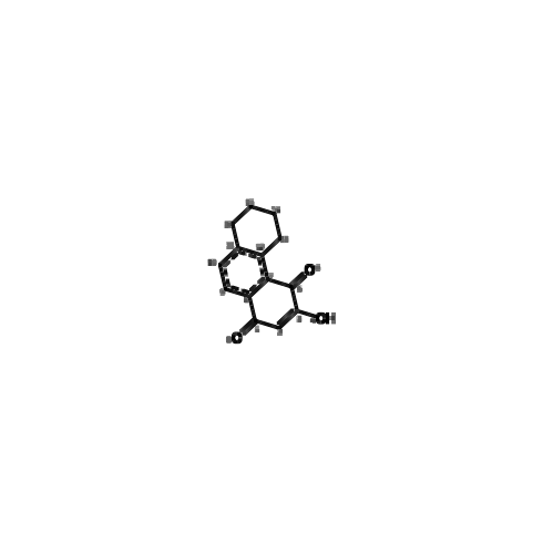 O=C1C=C(O)C(=O)c2c1ccc1c2CCCC1